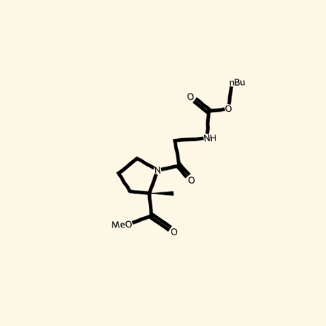 CCCCOC(=O)NCC(=O)N1CCC[C@@]1(C)C(=O)OC